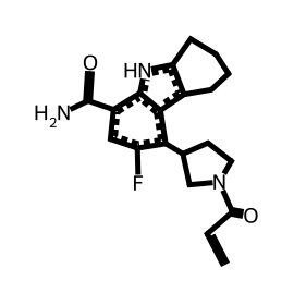 C=CC(=O)N1CCC(c2c(F)cc(C(N)=O)c3[nH]c4c(c23)CCCC4)C1